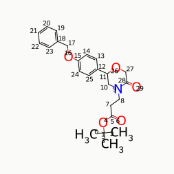 CC(C)(C)OC(=O)CCN1CC(c2ccc(OCc3ccccc3)cc2)OCC1=O